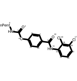 CCCCCNC(=O)Oc1ccc(C(=O)Nc2cccc(Cl)c2Cl)cc1